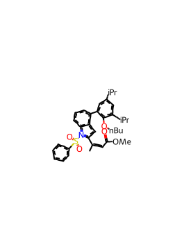 CCCCOc1c(-c2cccc3c2cc(/C(C)=C\C(=O)OC)n3S(=O)(=O)c2ccccc2)cc(C(C)C)cc1C(C)C